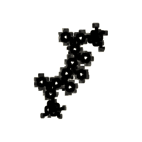 CCO[Si](OCC)(OCC)OCc1ccc2c(c1)c1cc(N(c3ccccc3)c3ccc4c5ccc(N(c6ccccc6)c6ccc7c(c6)c6cc(CO[Si](OCC)(OCC)OCC)ccc6n7-c6ccccc6)cc5n(-c5ccccc5)c4c3)ccc1n2-c1ccccc1